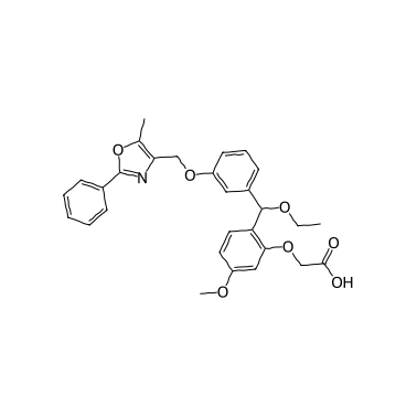 CCOC(c1cccc(OCc2nc(-c3ccccc3)oc2C)c1)c1ccc(OC)cc1OCC(=O)O